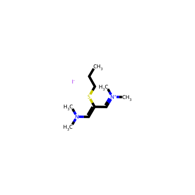 CCCS/C(C=[N+](C)C)=C\N(C)C.[I-]